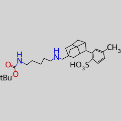 Cc1ccc(S(=O)(=O)O)c(C2C3CC4CC2CC(CNCCCCCNC(=O)OC(C)(C)C)(C4)C3)c1